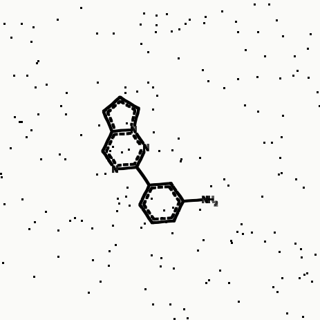 Nc1cccc(-c2ncc3cccn3n2)c1